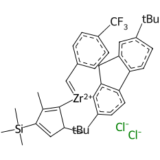 CC1=[C](/[Zr+2](=[CH]/c2ccc(C(F)(F)F)cc2)[c]2c(C(C)(C)C)ccc3c2Cc2cc(C(C)(C)C)ccc2-3)C(C)C=C1[Si](C)(C)C.[Cl-].[Cl-]